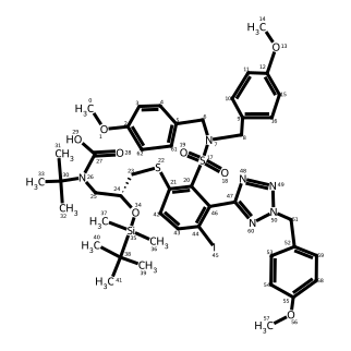 COc1ccc(CN(Cc2ccc(OC)cc2)S(=O)(=O)c2c(SC[C@@H](CN(C(=O)O)C(C)(C)C)O[Si](C)(C)C(C)(C)C)ccc(I)c2-c2nnn(Cc3ccc(OC)cc3)n2)cc1